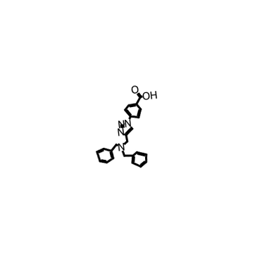 O=C(O)c1ccc(-n2cc(CN(Cc3ccccc3)Cc3ccccc3)nn2)cc1